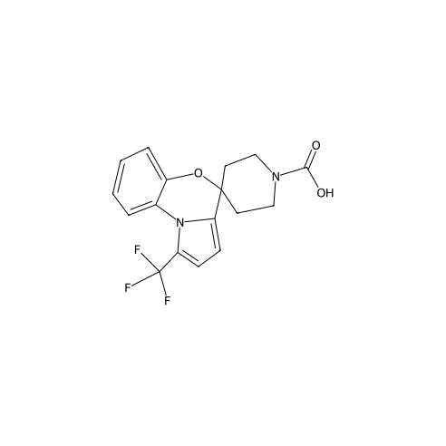 O=C(O)N1CCC2(CC1)Oc1ccccc1-n1c(C(F)(F)F)ccc12